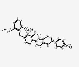 O=C(O)c1cccc(C(=O)O)c1Cc1ccc2c(c1)=CCc1c3c(ccc1=2)=CC(c1ccc(Cl)cc1)CC3